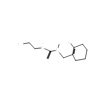 O=C(NCCO)N(S)CC1=C(Br)CCCC1